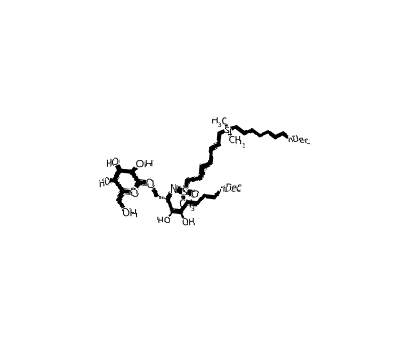 CCCCCCCCCCCCCCCCC[Si](C)(C)CCCCCCCS(C)(=O)=N[C@@H](COC1OC(CO)C(O)C(O)C1O)[C@H](O)[C@H](O)CCCCCCCCCCCCCC